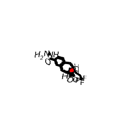 NNC(=O)c1ccc2c(c1)C[C@H]1CC[C@@H](C2)[C@]12CN(CC(F)(F)F)S(=O)(=O)N2